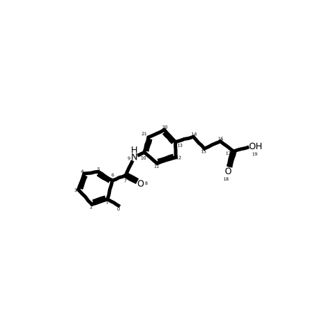 Cc1ccccc1C(=O)Nc1ccc(CCCC(=O)O)cc1